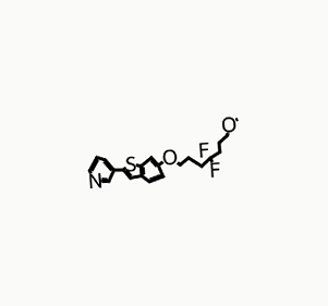 COCCCC(F)(F)CCCOc1ccc2cc(-c3cccnc3)sc2c1